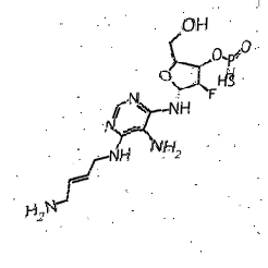 NC/C=C/CNc1ncnc(N[C@@H]2OC(CO)[C@@H](O[PH](=O)S)[C@H]2F)c1N